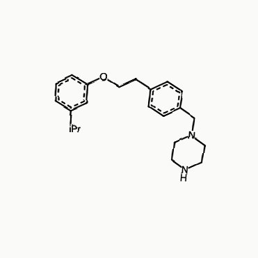 CC(C)c1cccc(OCCc2ccc(CN3CCNCC3)cc2)c1